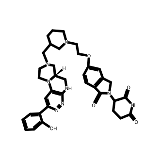 O=C1CCC(N2Cc3cc(OCCN4CCCC(CN5CCN6c7cc(-c8ccccc8O)nnc7NC[C@H]6C5)C4)ccc3C2=O)C(=O)N1